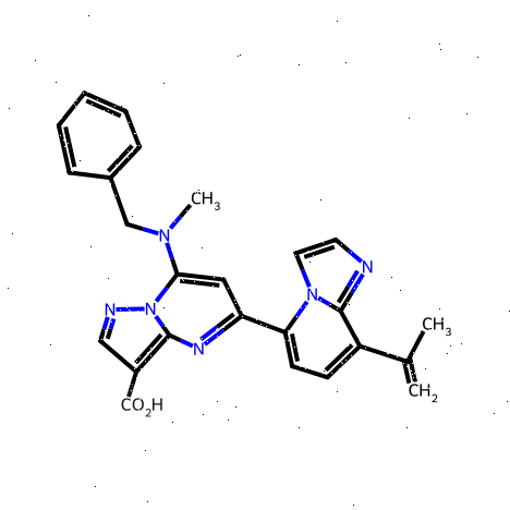 C=C(C)c1ccc(-c2cc(N(C)Cc3ccccc3)n3ncc(C(=O)O)c3n2)n2ccnc12